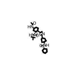 CC(=O)Nc1ccc(-c2cnc(-c3ccc(N[S+]([O-])c4ccccc4)cc3)s2)c([S+]([O-])NC(C)(C)C)c1